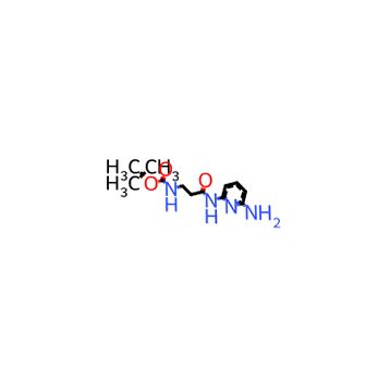 CC(C)(C)OC(=O)NCCC(=O)Nc1cccc(N)n1